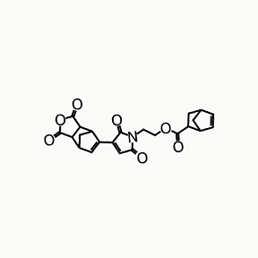 O=C(OCCN1C(=O)C=C(C2=CC3CC2C2C(=O)OC(=O)C32)C1=O)C1CC2C=CC1C2